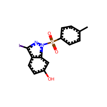 Cc1ccc(S(=O)(=O)n2nc(I)c3ccc(O)cc32)cc1